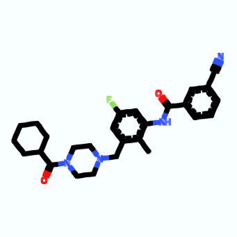 Cc1c(CN2CCN(C(=O)C3CCCCC3)CC2)cc(F)cc1NC(=O)c1cccc(C#N)c1